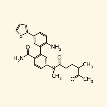 CC(=O)C(C)CCC(=O)N(C)c1ccc(C(N)=O)c(-c2cc(-c3cccs3)ccc2N)c1